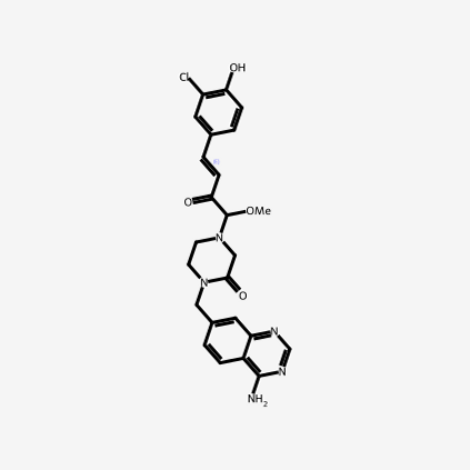 COC(C(=O)/C=C/c1ccc(O)c(Cl)c1)N1CCN(Cc2ccc3c(N)ncnc3c2)C(=O)C1